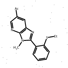 CCSc1ccccc1-c1nc2cc(C(C)=O)cnc2n1C